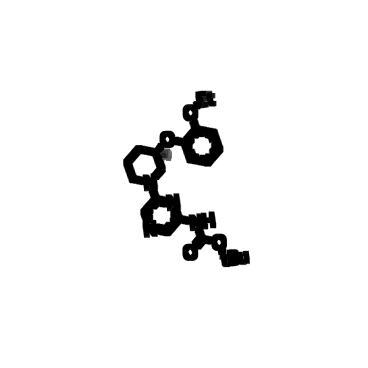 CCOc1ccccc1O[C@@H]1CCCN(c2cncc(NC(=O)OC(C)(C)C)n2)C1